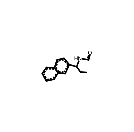 CCC(N[C]=O)c1ccc2ccccc2c1